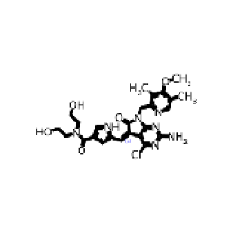 COc1c(C)cnc(CN2C(=O)/C(=C\c3cc(C(=O)N(CCO)CCO)c[nH]3)c3c(Cl)nc(N)nc32)c1C